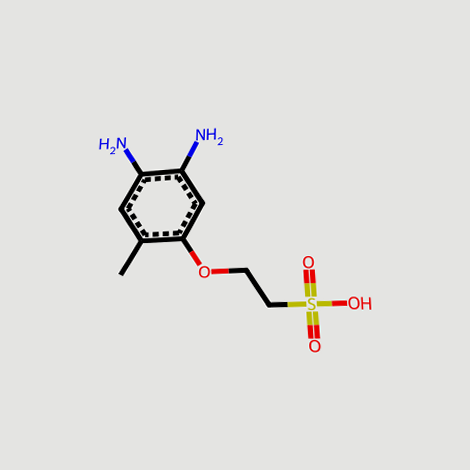 Cc1cc(N)c(N)cc1OCCS(=O)(=O)O